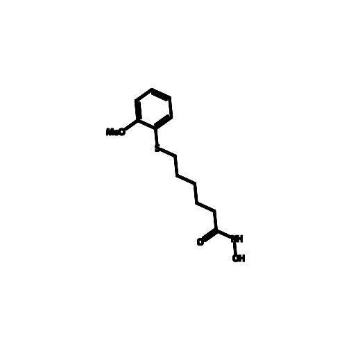 COc1ccccc1SCCCCCC(=O)NO